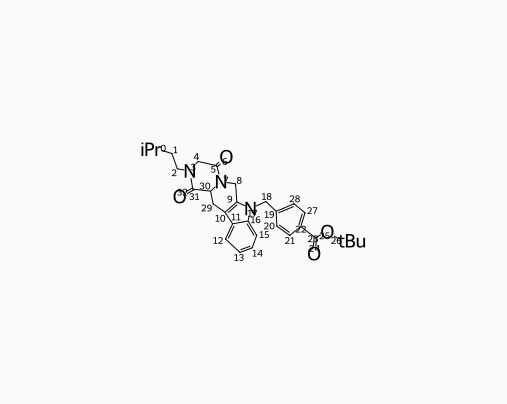 CC(C)CCN1CC(=O)N2Cc3c(c4ccccc4n3Cc3ccc(C(=O)OC(C)(C)C)cc3)CC2C1=O